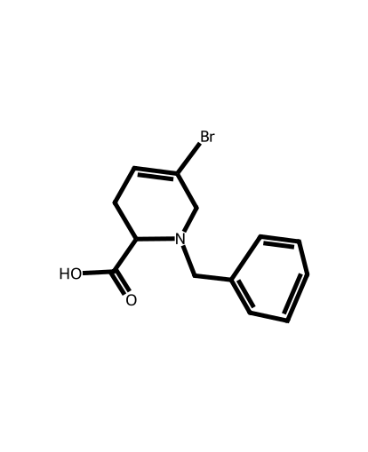 O=C(O)C1CC=C(Br)CN1Cc1ccccc1